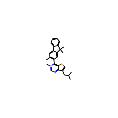 Cc1cc2c(cc1-c1c3scc(CC(C)C)c3nc[n+]1C)C(C)(C)c1ccccc1-2